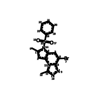 Cc1cc2c(cc(Br)c3nnc(C)n32)n1S(=O)(=O)c1ccccc1